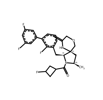 C[C@@H]1C[C@@]2(COCC(=O)N2)[C@H](Cc2cccc(-c3cc(F)cc(F)c3)c2F)N1C(=O)C1CC(F)C1